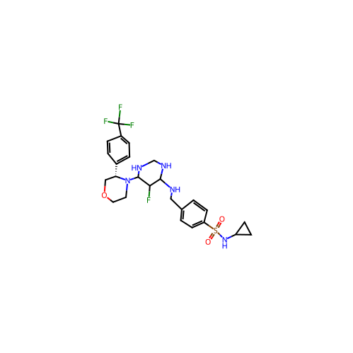 O=S(=O)(NC1CC1)c1ccc(CNC2NCNC(N3CCOC[C@@H]3c3ccc(C(F)(F)F)cc3)C2F)cc1